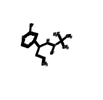 C=CCC(N[S+]([O-])C(C)(C)C)c1ccnc(Br)c1